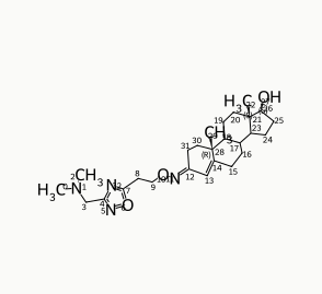 CN(C)Cc1noc(CCON=C2C=C3CCC4C(CC[C@@]5(C)C4CC[C@@H]5O)[C@@]3(C)CC2)n1